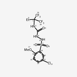 CCC(NC(=O)NNS(=O)(=O)c1cc(Cl)ccc1OC)(C(F)(F)F)C(F)(F)F